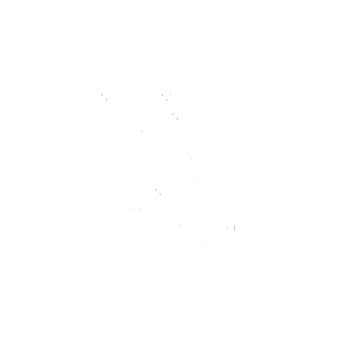 CN(CC1OCCn2nc3cnccc3c21)C(=O)OC(C)(C)C